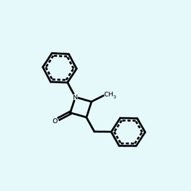 CC1C(Cc2ccccc2)C(=O)N1c1ccccc1